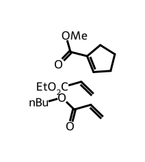 C=CC(=O)OCC.C=CC(=O)OCCCC.COC(=O)C1=CCCC1